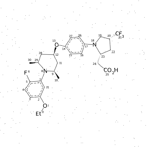 CCOc1ccc(F)c(N2[C@H](C)C[C@H](Oc3ccc(N4C[C@H](C(F)(F)F)C[C@@H]4CC(=O)O)cc3)C[C@@H]2C)c1